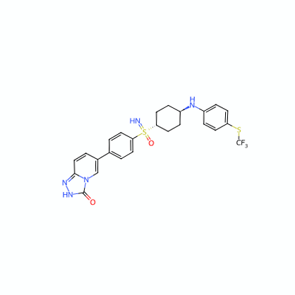 N=S(=O)(c1ccc(-c2ccc3n[nH]c(=O)n3c2)cc1)[C@H]1CC[C@H](Nc2ccc(SC(F)(F)F)cc2)CC1